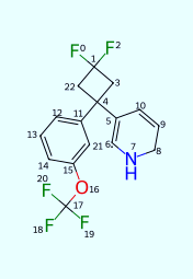 FC1(F)CC(C2=[C]NCC=C2)(c2cccc(OC(F)(F)F)c2)C1